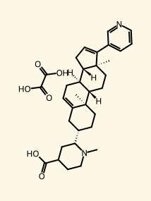 CN1CCC(C(=O)O)CC1[C@H]1CC[C@@]2(C)C(=CC[C@@H]3[C@@H]2CC[C@]2(C)C(c4cccnc4)=CC[C@@H]32)C1.O=C(O)C(=O)O